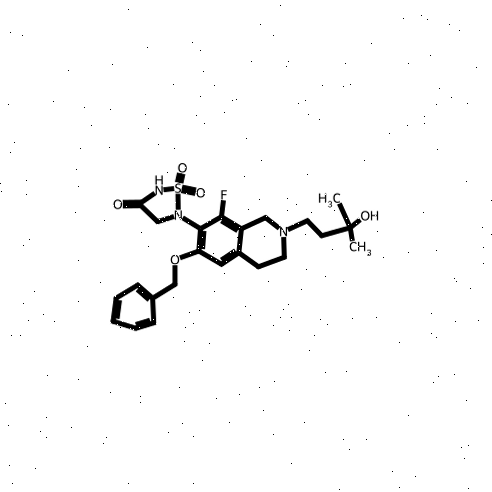 CC(C)(O)CCN1CCc2cc(OCc3ccccc3)c(N3CC(=O)NS3(=O)=O)c(F)c2C1